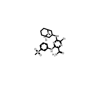 CCc1nc(C(N)=O)c(Nc2cccc(S(C)(=O)=O)c2)nc1NC1CC2CCC[C@H](C1)N2C